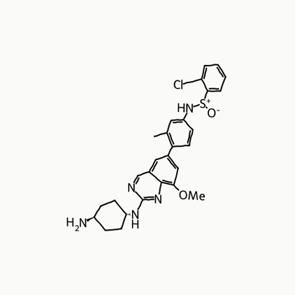 COc1cc(-c2ccc(N[S+]([O-])c3ccccc3Cl)cc2C)cc2cnc(N[C@H]3CC[C@H](N)CC3)nc12